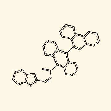 C=C(/C=C\c1cc2ccccc2o1)c1c2ccccc2c(-c2cc3ccccc3c3ccccc23)c2ccccc12